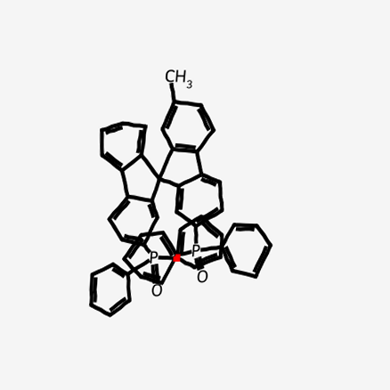 Cc1ccc2c(c1)C1(c3ccccc3-c3ccc(P(=O)(c4ccccc4)c4ccccc4)cc31)c1cc(P(=O)(c3ccccc3)c3ccccc3)ccc1-2